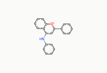 c1ccc(Nc2cc(-c3ccccc3)[o+]c3ccccc23)cc1